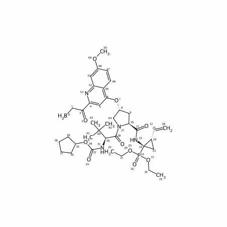 BCC(=O)c1cc(O[C@@H]2C[C@@H](C(=O)N[C@]3(P(=O)(OCC)OCC)C[C@H]3C=C)N(C(=O)[C@@H](NC(=O)OC3CCCC3)C(C)(C)C)C2)c2ccc(OC)cc2n1